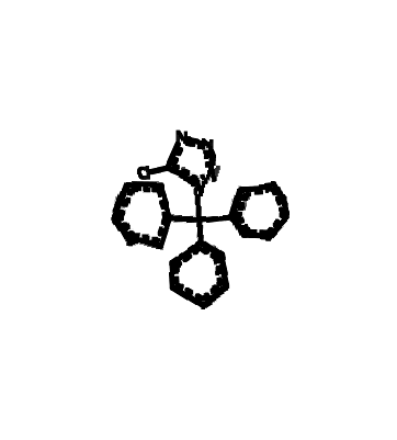 Clc1nnnn1C(c1ccccc1)(c1ccccc1)c1ccccc1